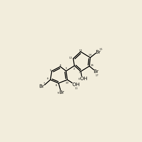 Oc1c(-c2ccc(Br)c(Br)c2O)ccc(Br)c1Br